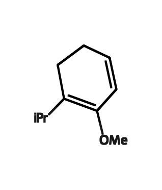 COC1=C(C(C)C)CCC=C1